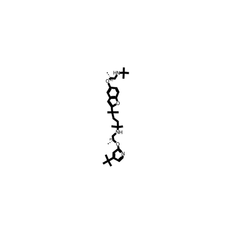 C[C@H](CNC(C)(C)C)Oc1ccc2oc(C(C)(C)CCC(C)(C)NC[C@@H](C)Oc3cc(C(C)(C)C)ccn3)cc2c1